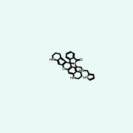 O=C1c2ccccc2C2(c3cc4c(cc3Oc3cc5c(cc32)CCCN5)NCCC4)N1CCNCc1ccc[nH]1